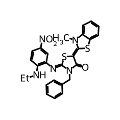 CCNc1ccc([N+](=O)[O-])cc1N=C1SC(=C2Sc3ccccc3N2C)C(=O)N1Cc1ccccc1